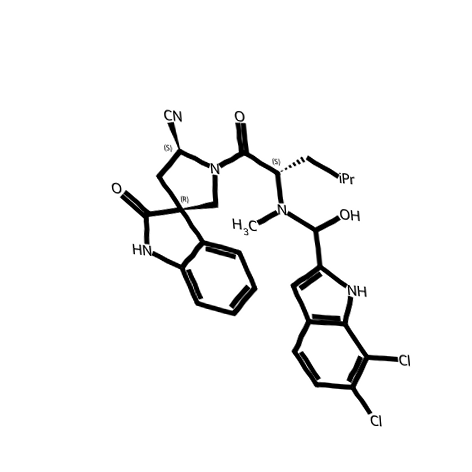 CC(C)C[C@@H](C(=O)N1C[C@]2(C[C@H]1C#N)C(=O)Nc1ccccc12)N(C)C(O)c1cc2ccc(Cl)c(Cl)c2[nH]1